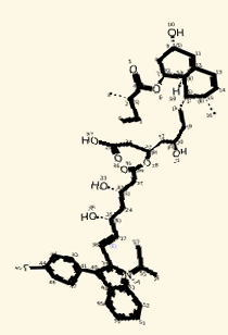 CC[C@H](C)C(=O)O[C@H]1C[C@H](O)C=C2C=C[C@H](C)[C@H](CC[C@@H](O)C[C@H](CC(=O)O)OC(=O)C[C@@H](O)C[C@@H](O)/C=C/c3c(-c4ccc(F)cc4)c4ccccc4n3C(C)C)[C@H]21